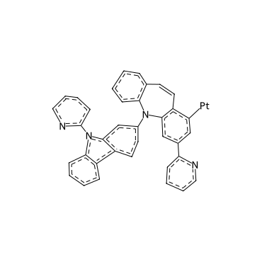 [Pt][c]1cc(-c2ccccn2)cc2c1C=Cc1ccccc1N2c1ccc2c3ccccc3n(-c3ccccn3)c2c1